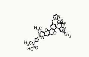 Cc1cc(C=C2COc3c(cc(Cn4ccnc4C)cc3-c3cn(C)nc3C(F)(F)F)C2=O)nc(N2CC(N(C)C(=O)O)C2)n1